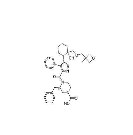 CC1(COCC2(O)CCCCC2n2cnc(C(=O)N3CCN(C(=O)O)C[C@H]3Cc3ccccc3)c2-c2ccccc2)COC1